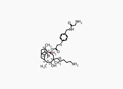 C[C@@H]1CC23C[C@@]4(CCC2=O)[C@@H]3[C@]1(C)[C@H](OC(=O)CSc1ccc(CNC(=O)CN)cc1)C[C@](C)(CNCCCN)[C@@H](O)[C@@H]4C